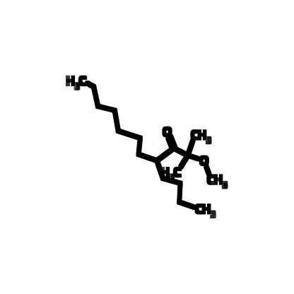 CCCCCCCC(CCCC)C(=O)C(C)(C)OC